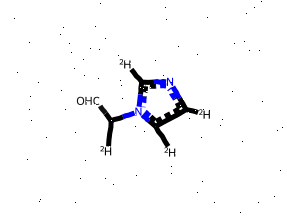 [2H]c1nc([2H])n(C([2H])C=O)c1[2H]